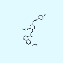 COc1ccc2nccc(C(F)CC[C@@H]3CCN(CC#Cc4ccc(F)cc4)C[C@@H]3C(=O)O)c2c1